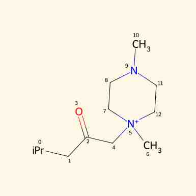 CC(C)CC(=O)C[N+]1(C)CCN(C)CC1